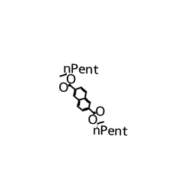 CCCCC[C@@H](C)OC(=O)c1ccc2cc(C(=O)O[C@H](C)CCCCC)ccc2c1